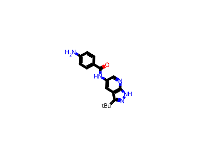 CC(C)(C)c1n[nH]c2ncc(NC(=O)c3ccc(N)cc3)cc12